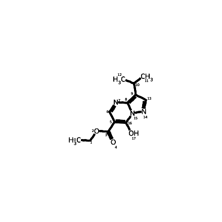 CCOC(=O)c1cnc2c(C(C)C)cnn2c1O